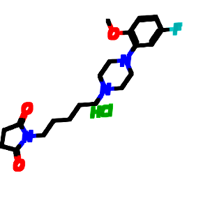 COc1ccc(F)cc1N1CCN(CCCCCN2C(=O)CCC2=O)CC1.Cl